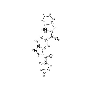 O=C(c1cc2ccccc2[nH]1)N1CCn2ncc(C(=O)N3CC4CC4C3)c2C1